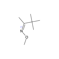 CO/N=C(/C)C(C)(C)C